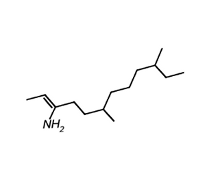 C/C=C(\N)CCC(C)CCCC(C)CC